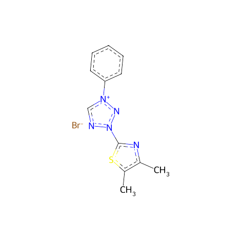 Cc1nc(-n2nc[n+](-c3ccccc3)n2)sc1C.[Br-]